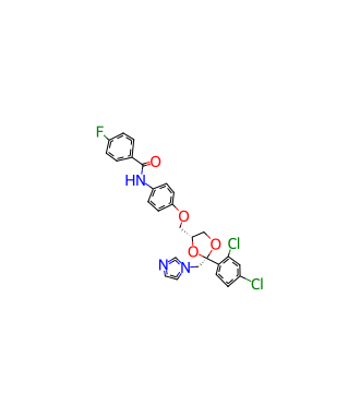 O=C(Nc1ccc(OC[C@@H]2CO[C@@](Cn3ccnc3)(c3ccc(Cl)cc3Cl)O2)cc1)c1ccc(F)cc1